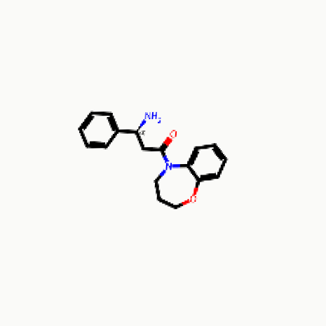 N[C@@H](CC(=O)N1CCCOc2ccccc21)c1ccccc1